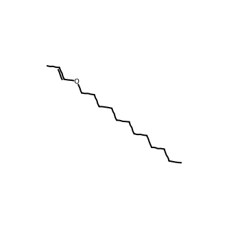 CC=COCCCCCCCCCCCC